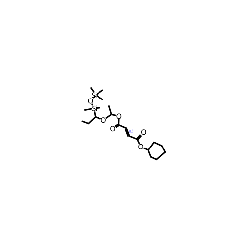 CCC(OC(C)OC(=O)/C=C/C(=O)OC1CCCCC1)[Si](C)(C)O[Si](C)(C)C